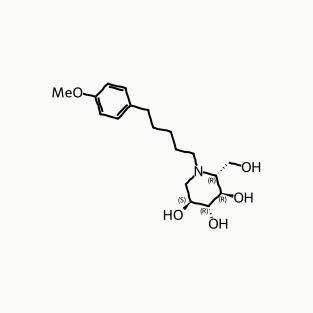 COc1ccc(CCCCCN2C[C@H](O)[C@@H](O)[C@H](O)[C@H]2CO)cc1